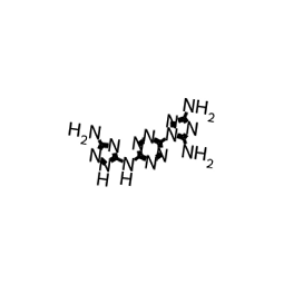 Nc1n[nH]c(Nc2nnc(-n3nc(N)nc3N)nn2)n1